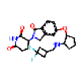 O=C1CCC(N2Cc3cc(OC4CCCC4NCC4CC(F)(F)C4)ccc3C2=O)C(=O)N1